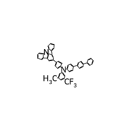 Cc1cc(N(c2ccc(-c3ccc(-c4ccccc4)cc3)cc2)c2ccc(-c3cc4c5ccccc5n5c6ccccc6c(c3)c45)cc2)cc(C(F)(F)F)c1